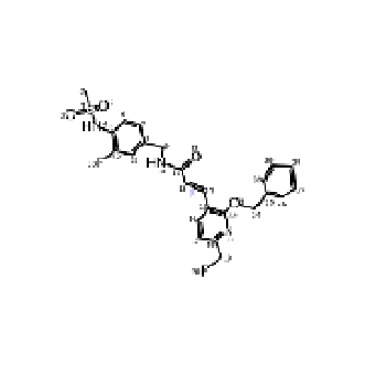 CS(=O)(=O)Nc1ccc(CNC(=O)/C=C/c2ccc(CF)nc2OCc2ccccc2)cc1F